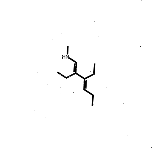 CC/C=C(CC)/C(=C/NC)CC